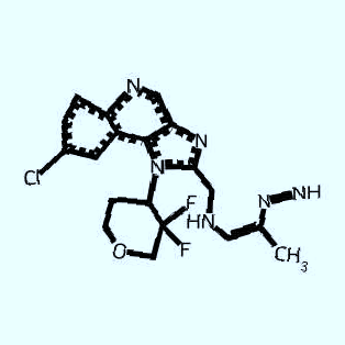 C/C(=C/NCc1nc2cnc3ccc(Cl)cc3c2n1C1CCOCC1(F)F)N=N